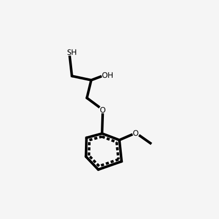 COc1ccccc1OCC(O)CS